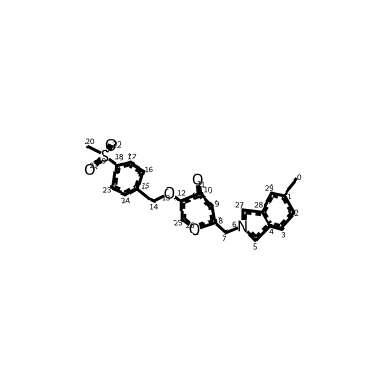 Cc1ccc2cn(Cc3cc(=O)c(OCc4ccc(S(C)(=O)=O)cc4)co3)cc2c1